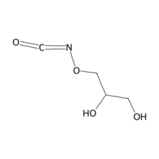 O=C=NOCC(O)CO